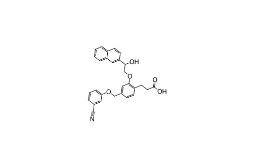 N#Cc1cccc(OCc2ccc(CCC(=O)O)c(OCC(O)c3ccc4ccccc4c3)c2)c1